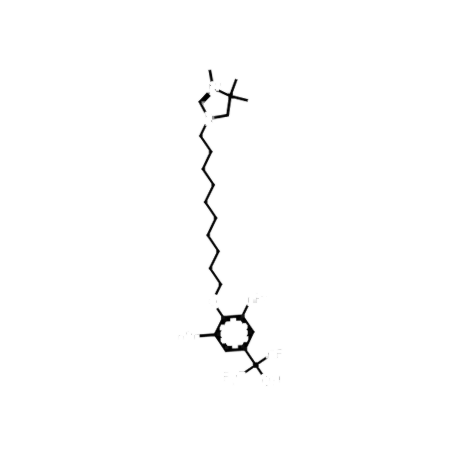 CCCc1cc(C(O)(C(F)(F)F)C(F)(F)F)cc(CCC)c1OCCCCCCCCCCN1C=[N+](C)C(C)(C)C1